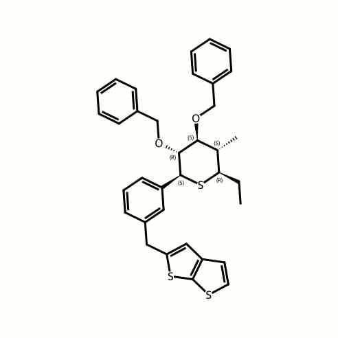 CC[C@H]1S[C@@H](c2cccc(Cc3cc4ccsc4s3)c2)[C@H](OCc2ccccc2)[C@@H](OCc2ccccc2)[C@@H]1C